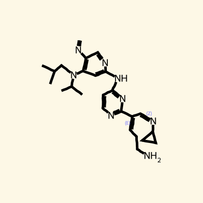 C=Nc1cnc(Nc2ccnc(C(/C=N\C3CC3)=C/CCN)n2)cc1N(CC(C)C)C(C)C